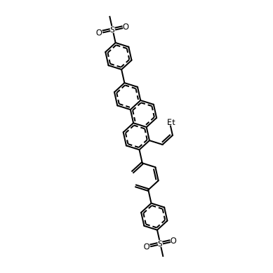 C=C(/C=C\C(=C)c1ccc2c(ccc3cc(-c4ccc(S(C)(=O)=O)cc4)ccc32)c1/C=C\CC)c1ccc(S(C)(=O)=O)cc1